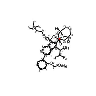 COCOc1ccccc1-c1cc2c(C(O)C(F)F)c(C3C[C@H]4COC[C@@H](C3)N4C(=O)OC(C)(C)C)n(COCC[Si](C)(C)C)c2nn1